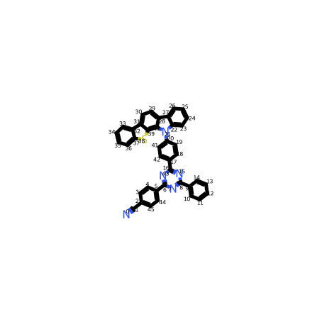 N#Cc1ccc(-c2nc(-c3ccccc3)nc(-c3ccc(-n4c5ccccc5c5ccc6c7ccccc7sc6c54)cc3)n2)cc1